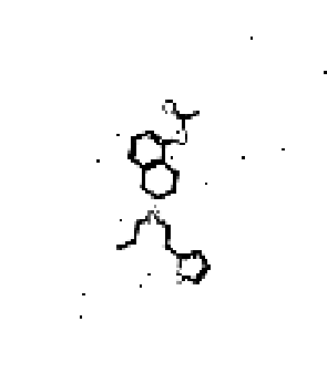 CCCN(CCc1cccs1)[C@H]1CCc2c(cccc2OC(C)=O)C1